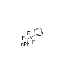 CCCC(F)C(F)(F)c1[c]cccc1